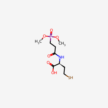 COP(=O)(CCC(=O)N[C@@H](CCS)C(=O)O)OC